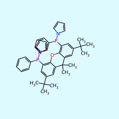 CC(C)(C)c1cc(P(c2ccccc2)n2cccc2)c2c(c1)C(C)(C)c1cc(C(C)(C)C)cc(P(c3ccccc3)n3cccc3)c1O2